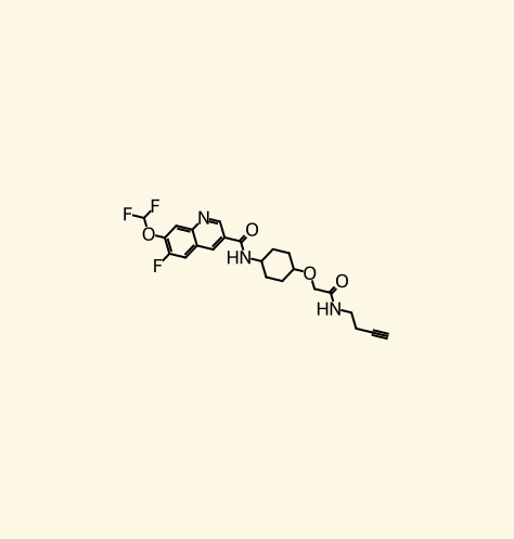 C#CCCNC(=O)COC1CCC(NC(=O)c2cnc3cc(OC(F)F)c(F)cc3c2)CC1